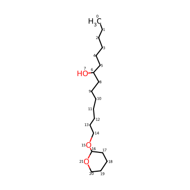 CCCCCCC(O)CCCCCCCOC1CCCCO1